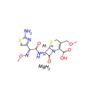 COCC1=C(C(=O)O)N2C(=O)[C@@H](NC(=O)C(=NOC)c3csc(N)n3)[C@H]2SC1.[MgH2]